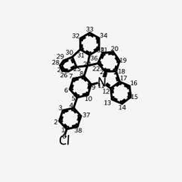 Clc1ccc(-c2ccc3c(c2)-n2c4ccccc4c4cccc(c42)C32c3ccccc3-c3ccccc32)cc1